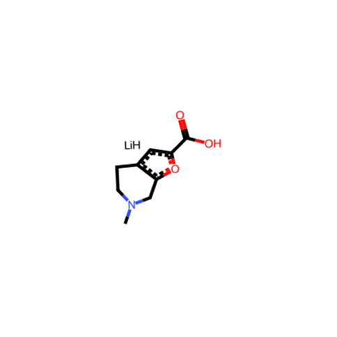 CN1CCc2cc(C(=O)O)oc2C1.[LiH]